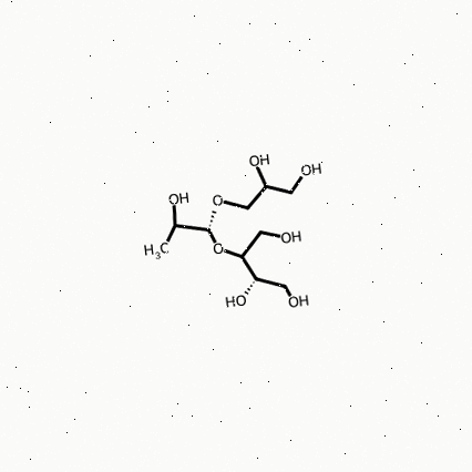 CC(O)[C@H](OCC(O)CO)OC(CO)[C@@H](O)CO